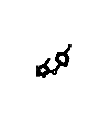 Cc1nnsc1Oc1ccc(F)cc1